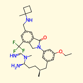 CCOc1cc(C[C@@H](C)CC[C@@H](N)N(C)C=N)cc(N2Cc3c(cc(CNC4(C)CCC4)cc3C(F)(F)F)C2=O)c1